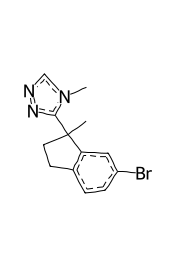 Cn1cnnc1C1(C)CCc2ccc(Br)cc21